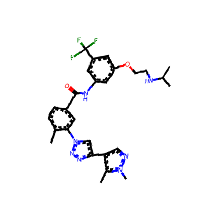 Cc1ccc(C(=O)Nc2cc(OCCNC(C)C)cc(C(F)(F)F)c2)cc1-n1cc(-c2cnn(C)c2C)nn1